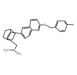 CN(C)CC1=C(c2ccc3cc(OCc4ccc(F)cc4)ccc3c2)C2CCC1CC2